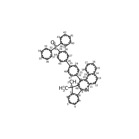 CC1(C)c2ccccc2-c2nc3ccc4ccccc4c3c(-c3ccc(-c4ccc(P(=O)(c5ccccc5)c5ccccc5)cc4)cc3)c21